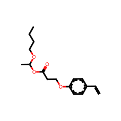 C=Cc1ccc(OCCC(=O)OC(C)OCCCC)cc1